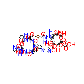 CC[C@H]1OC(=O)[C@H](C)[C@@H](OC2CC(C)(OC)C(O)C(C)O2)C(C)C(OC2OC(C)CC(N(C)C)C2O)[C@](C)(O)C[C@@H](C)[C@H](NCCNC(=O)CCSCC2CN3C(=O)[C@H](Cc4ccc(N(C)C)cc4)N(C)C(=O)[C@@H]4CCCN4C(=O)C(C)(CC)NC(=O)[C@@H](NC(=O)c4ncccc4O)[C@@H](C)OC(=O)[C@H](c4ccccc4)NC(=O)[C@@H]3CC2=O)[C@H](C)[C@@H](O)[C@]1(C)O